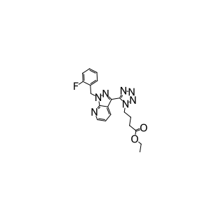 CCOC(=O)CCCn1nnnc1-c1nn(Cc2ccccc2F)c2ncccc12